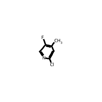 Cc1cc(Cl)ncc1F